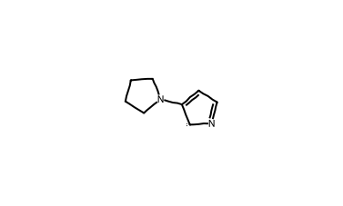 [C]1N=CC=C1N1CCCC1